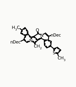 C=c1c2c(c3c4ccc(C)cc4c(CCCCCCCCCC)cn13)C(=O)N1C=C(CCCCCCCCCC)c3cc(-c4ccc(C)s4)ccc3C=21